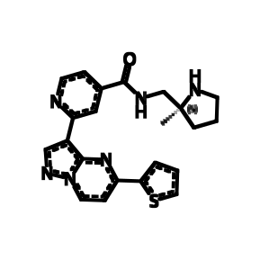 C[C@@]1(CNC(=O)c2ccnc(-c3cnn4ccc(-c5cccs5)nc34)c2)CCCN1